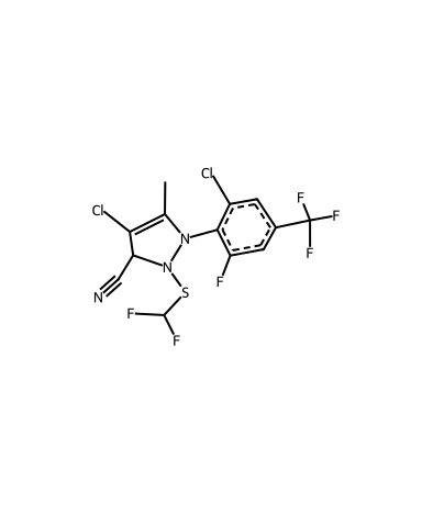 CC1=C(Cl)C(C#N)N(SC(F)F)N1c1c(F)cc(C(F)(F)F)cc1Cl